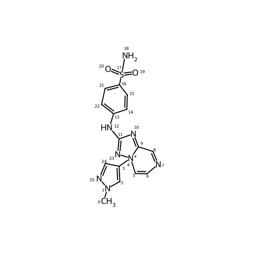 Cn1cc([N+]23C=CN=CC2=NC(Nc2ccc(S(N)(=O)=O)cc2)=N3)cn1